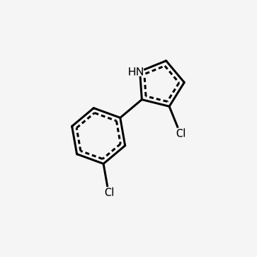 Clc1cccc(-c2[nH]ccc2Cl)c1